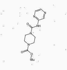 CC(C)(C)OC(=O)N1CCN(C(=O)Nc2cnccn2)CC1